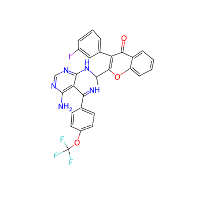 CC(Nc1ncnc(N)c1C(=N)c1ccc(OC(F)(F)F)cc1)c1oc2ccccc2c(=O)c1-c1cccc(I)c1